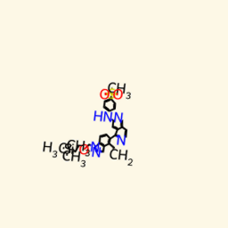 C=Cc1c(-c2nccc3cnc(Nc4ccc(S(C)(=O)=O)cc4)cc23)ccc2c1cnn2COCC[Si](C)(C)C